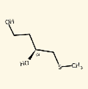 CSC[C@@H](O)CCO